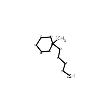 CC1(CCCCS)CCCCC1